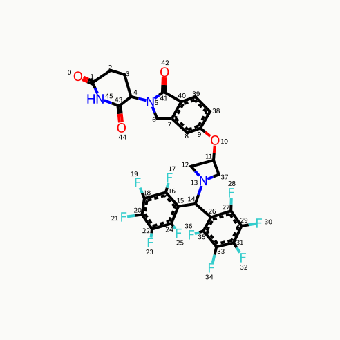 O=C1CCC(N2Cc3cc(OC4CN(C(c5c(F)c(F)c(F)c(F)c5F)c5c(F)c(F)c(F)c(F)c5F)C4)ccc3C2=O)C(=O)N1